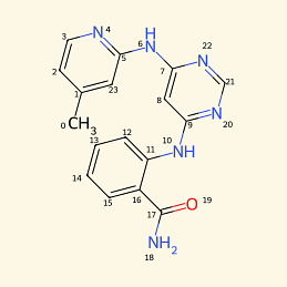 Cc1ccnc(Nc2cc(Nc3ccccc3C(N)=O)ncn2)c1